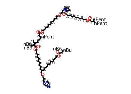 CCCCCC(CCCCC)CC(=O)OCCCCCCCCCCCOC(COCCCCCCCCCCCOC(=O)CC(CCCCC)CCCC(C)C(C(=O)OCCCCCCCCCCC(CCCCCCCCCCOC(=O)CC(CCCC)CCCC)COCCCN1CCN(C)CC1)C(CCCC)CCCC)CN1CCCC1